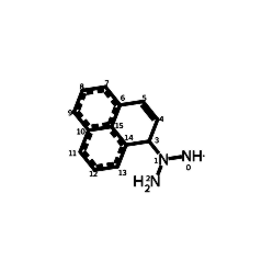 [NH]N(N)C1C=Cc2cccc3cccc1c23